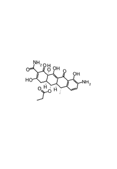 CCC(=O)O[C@H]1[C@H]2C(=C(O)[C@]3(O)C(=O)C(C(N)=O)=C(O)C[C@H]13)C(=O)c1c(ccc(N)c1O)[C@@H]2C